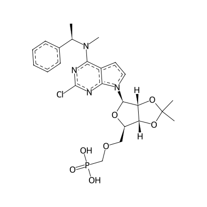 C[C@H](c1ccccc1)N(C)c1nc(Cl)nc2c1ccn2[C@@H]1O[C@H](COCP(=O)(O)O)[C@H]2OC(C)(C)O[C@H]21